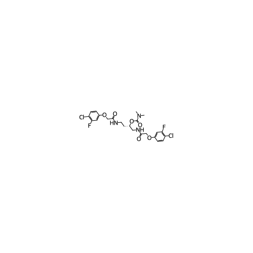 CN(C)C(=O)O[C@@H](CCNC(=O)COc1ccc(Cl)c(F)c1)CNC(=O)COc1ccc(Cl)c(F)c1